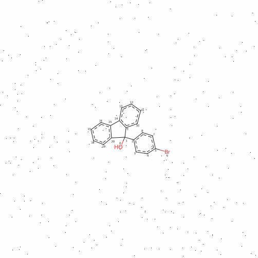 OC1(c2ccc(Br)cc2)c2ccccc2-c2ccccc21